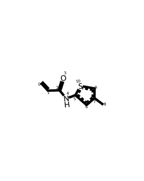 C=CC(=O)Nc1cc(C)cs1